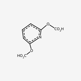 O=C(O)Oc1cccc(OC(=O)O)n1